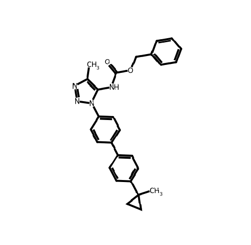 Cc1nnn(-c2ccc(-c3ccc(C4(C)CC4)cc3)cc2)c1NC(=O)OCc1ccccc1